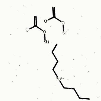 C=C([O-])OS.C=C([O-])OS.CCC[CH2][Sn+2][CH2]CCC